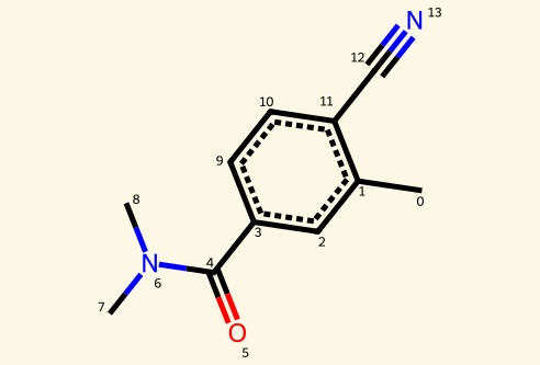 Cc1cc(C(=O)N(C)C)ccc1C#N